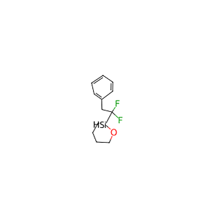 FC(F)(Cc1ccccc1)[SiH]1CCCCO1